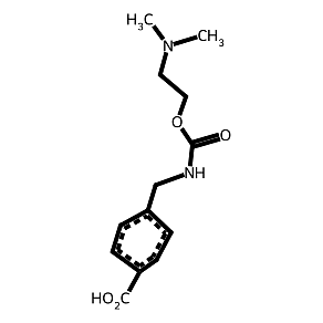 CN(C)CCOC(=O)NCc1ccc(C(=O)O)cc1